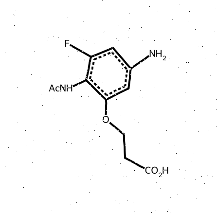 CC(=O)Nc1c(F)cc(N)cc1OCCC(=O)O